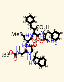 CSCC[C@H](NC(=O)[C@H](Cc1c[nH]c2ccccc12)NC(=O)CNC(=O)OC(C)(C)C)C(=O)N[C@H](C(=O)N[C@@H](Cc1ccccc1)C(N)=O)C(Cc1ccccc1)C(=O)O